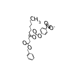 CCCCCC[C@H](CCC(=O)OCc1ccccc1)OC(=O)Oc1ccc([N+](=O)[O-])cc1